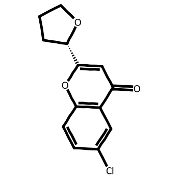 O=c1cc([C@@H]2CCCO2)oc2ccc(Cl)cc12